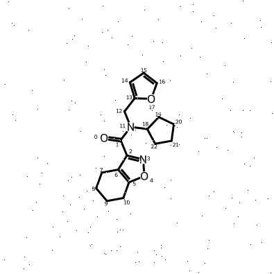 O=C(c1noc2c1CCCC2)N(Cc1ccco1)C1CCCC1